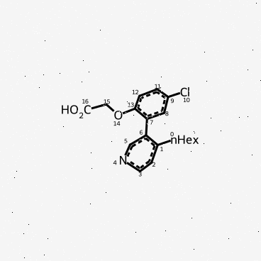 CCCCCCc1ccncc1-c1cc(Cl)ccc1OCC(=O)O